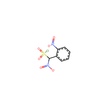 O=[N+]([O-])c1ccccc1C([N+](=O)[O-])S(=O)(=O)Cl